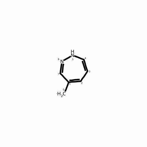 [CH2]C1=CC=CNN=C1